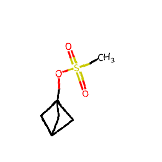 CS(=O)(=O)OC12CC(C1)C2